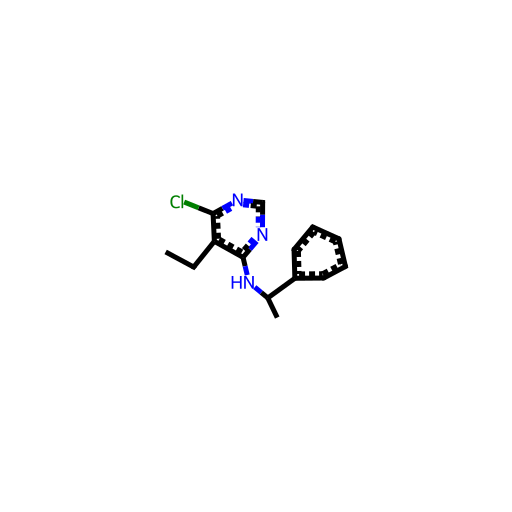 CCc1c(Cl)ncnc1NC(C)c1ccccc1